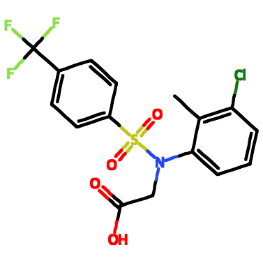 Cc1c(Cl)cccc1N(CC(=O)O)S(=O)(=O)c1ccc(C(F)(F)F)cc1